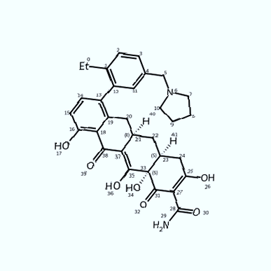 CCc1ccc(CN2CCCC2)cc1-c1ccc(O)c2c1C[C@H]1C[C@H]3CC(O)=C(C(N)=O)C(=O)[C@@]3(O)C(O)=C1C2=O